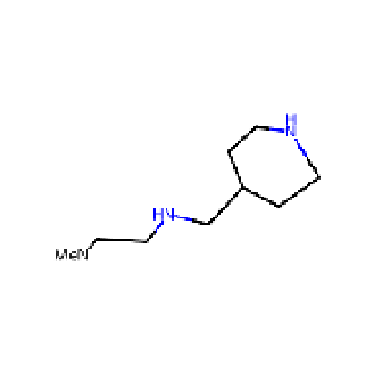 CNCCNCC1CCNCC1